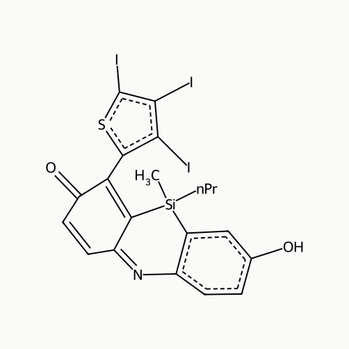 CCC[Si]1(C)C2=C(c3sc(I)c(I)c3I)C(=O)C=CC2=Nc2ccc(O)cc21